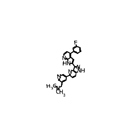 CN(C)Cc1cncc(-c2ccc3[nH]nc(-c4cc5c(-c6cccc(F)c6)ccnc5[nH]4)c3n2)c1